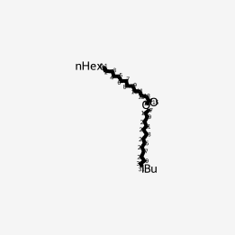 CCCCCCC=CCCCCCCCCCCCC(=O)OCCCCCCCCCCCCCCC(C)CC